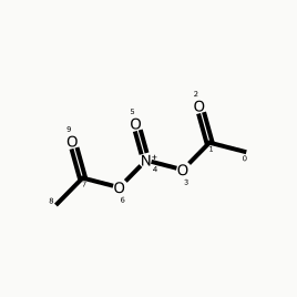 CC(=O)O[N+](=O)OC(C)=O